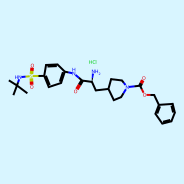 CC(C)(C)NS(=O)(=O)c1ccc(NC(=O)[C@@H](N)CC2CCN(C(=O)OCc3ccccc3)CC2)cc1.Cl